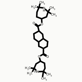 CC1(C)CCC(OC(=O)C2CCC3CC(C(=O)OC4CCC(C)(C)NC(C)(C)C4)CCC3C2)CC(C)(C)N1